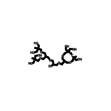 CCC(COCC(COCC(C)(CO)CO)COCC(C)(CO)CO)COCC1COCC(C)(CO)COC(CO)(CO)COC1